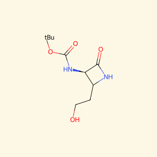 CC(C)(C)OC(=O)N[C@H]1C(=O)NC1CCO